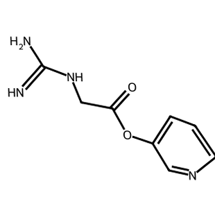 N=C(N)NCC(=O)Oc1cccnc1